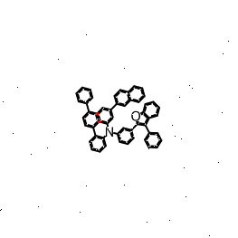 c1ccc(-c2ccc(-c3ccccc3N(c3cccc(-c4ccc5ccccc5c4)c3)c3cccc(-c4oc5ccccc5c4-c4ccccc4)c3)cc2)cc1